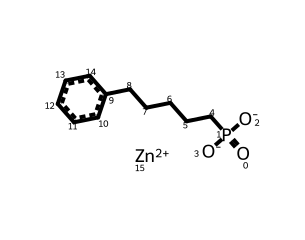 O=P([O-])([O-])CCCCCc1ccccc1.[Zn+2]